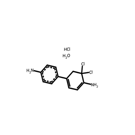 Cl.NC1=CC=C(c2ccc(N)cc2)CC1(Cl)Cl.O